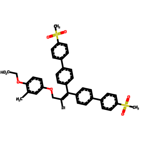 CCC(COc1ccc(OCC(=O)O)c(C)c1)=C(c1ccc(-c2ccc(S(C)(=O)=O)cc2)cc1)c1ccc(-c2ccc(S(C)(=O)=O)cc2)cc1